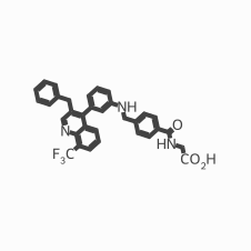 O=C(O)CNC(=O)c1ccc(CNc2cccc(-c3c(Cc4ccccc4)cnc4c(C(F)(F)F)cccc34)c2)cc1